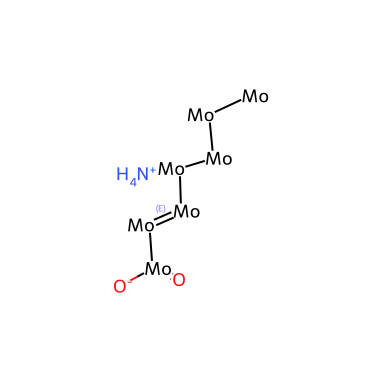 [NH4+].[O]=[Mo]([O-])/[Mo]=[Mo]/[Mo][Mo][Mo][Mo]